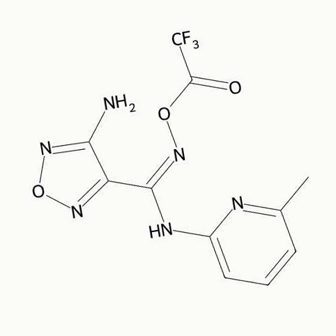 Cc1cccc(NC(=NOC(=O)C(F)(F)F)c2nonc2N)n1